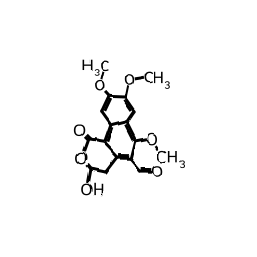 COc1cc2c(OC)c(C=O)c3c(c2cc1OC)C(=O)OC(O)C3